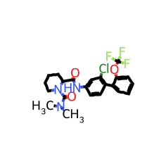 CN(C)C(=O)N1CCCCC1C(=O)Nc1ccc(-c2ccccc2OC(F)(F)F)c(Cl)c1